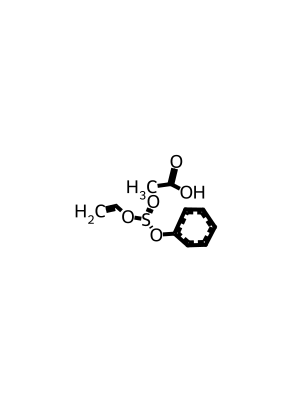 C=COS(=O)Oc1ccccc1.CC(=O)O